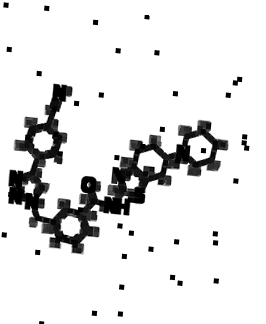 N#Cc1ccc(-c2cn(Cc3cccc(C(=O)Nc4nc5c(s4)CC(N4CCCCC4)CC5)c3)nn2)cc1